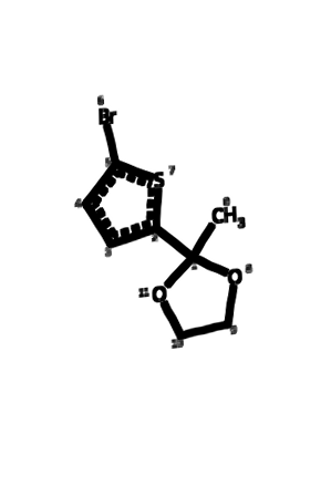 CC1(c2ccc(Br)s2)OCCO1